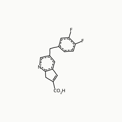 O=C(O)C1=Cc2cc(Cc3ccc(F)c(F)c3)cnc2C1